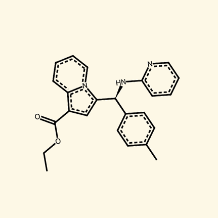 CCOC(=O)c1cc([C@@H](Nc2ccccn2)c2ccc(C)cc2)n2ccccc12